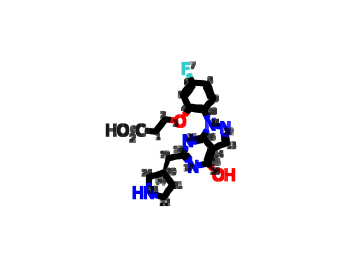 O=C(O)CCOc1cc(F)ccc1-n1ncc2c(O)nc(C[C@H]3CCNC3)nc21